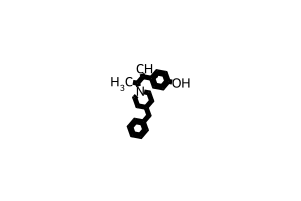 CC(c1ccc(O)cc1)C(C)N1CCC(Cc2ccccc2)CC1